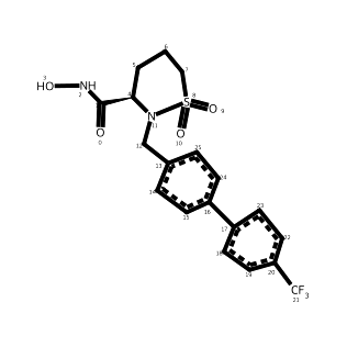 O=C(NO)[C@H]1CCCS(=O)(=O)N1Cc1ccc(-c2ccc(C(F)(F)F)cc2)cc1